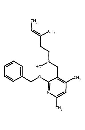 C/C=C(\C)CCN(O)Cc1c(C)cc(C)nc1OCc1ccccc1